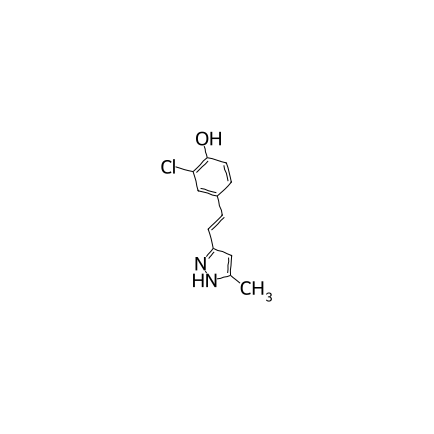 Cc1cc(C=Cc2ccc(O)c(Cl)c2)n[nH]1